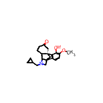 COc1ccc2c(c1O)[C@]13CC(=O)CCC1C1N(CC4CC4)CC21C3